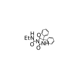 CCNC(=O)N1C(=O)NC(c2ccccc2)(c2ccccc2)C1=O